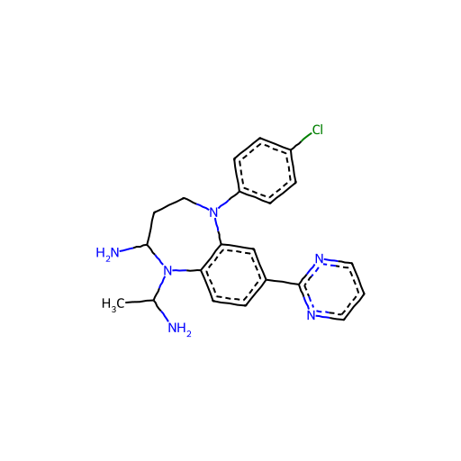 CC(N)N1c2ccc(-c3ncccn3)cc2N(c2ccc(Cl)cc2)CCC1N